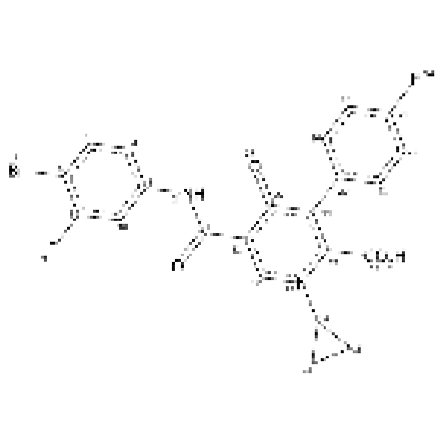 O=C(Nc1ccc(Br)c(F)c1)c1cn(C2CC2)c(C(=O)O)c(-c2ccc(F)cc2)c1=O